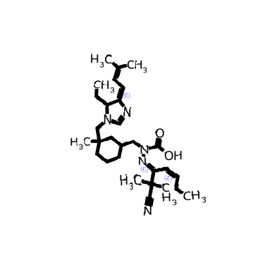 CC/C=C\C(=N/N(CC1CCCC(C)(CN2C=N/C(=C/C=C(C)C)C2CC)C1)C(=O)O)C(C)(C)C#N